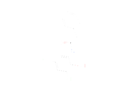 O=C(Cc1ccccc1)Nc1cc(Cl)cc(Cl)c1O